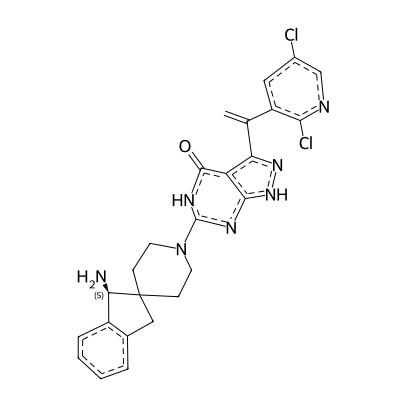 C=C(c1cc(Cl)cnc1Cl)c1n[nH]c2nc(N3CCC4(CC3)Cc3ccccc3[C@H]4N)[nH]c(=O)c12